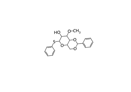 COC1C(O)C(Sc2ccccc2)OC2COC(c3ccccc3)OC21